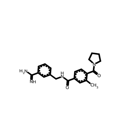 Cc1cc(C(=O)NCc2cccc(C(=N)N)c2)ccc1C(=O)N1CCCC1